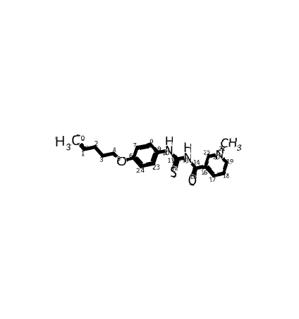 CCCCCOc1ccc(NC(=S)NC(=O)C2=CCCN(C)C2)cc1